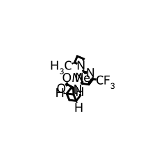 COC(=O)C[C@@H]1[C@@H]2C[C@H]1CN(c1cc(C(F)(F)F)nc(N3CC[C@@H]3C)n1)C2